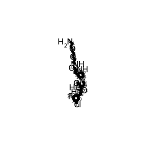 NCCOCCOCCNC(=O)c1cc2cc(N3CC[C@](O)(C(=O)NCc4cc(F)cc(Cl)c4)C3=O)ccc2[nH]1